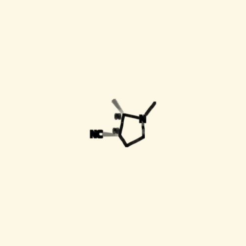 C[C@H]1[C@@H](C#N)CCN1C